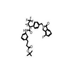 C[C@H]([C@H](C(=O)Nc1cccc(CCC(=O)OC(C)(C)C)c1)c1ccc(CN2Cc3c(F)cccc3C2=O)cc1)C(F)(F)F